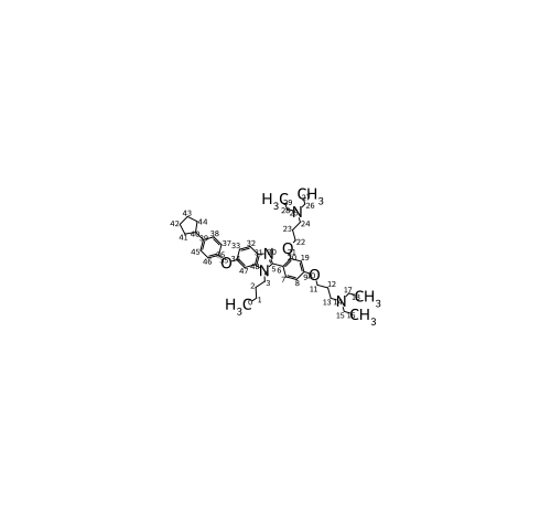 CCCCn1c(-c2ccc(OCCCN(CC)CC)cc2OCCCN(CC)CC)nc2ccc(Oc3ccc(C4CCCC4)cc3)cc21